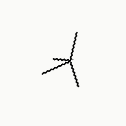 CCCCCCCCCCCCCCC[N+](CCCCCCCCC)(CCCCCCCCCCCCCCC)CCCCCCCCCCCCCCC